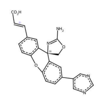 NC1=N[C@@]2(CO1)c1cc(/C=C/C(=O)O)ccc1Oc1ccc(-c3cncnc3)cc12